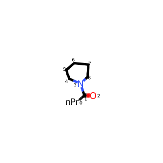 CCCC(=O)N1C[CH]CCC1